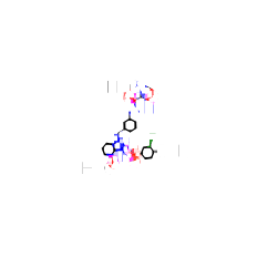 COc1cccc2c1c(NS(=O)(=O)c1ccc(C)c(F)c1)nn2Cc1cccc(CNC(=O)C2COCCN2C)c1